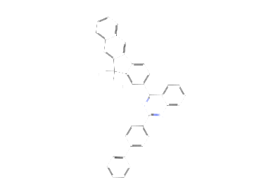 CC1(C)c2cc(-c3nc(-c4ccc(-c5ccccc5)cc4)nc4ccccc34)ccc2-c2cc3ccccc3cc21